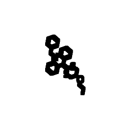 CCCOC1CSC(=C2c3ccccc3N(Cc3ccccc3)c3ccccc32)SC1